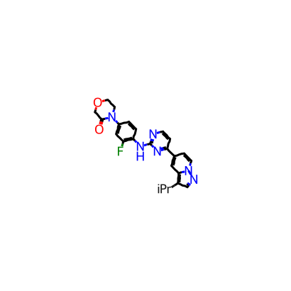 CC(C)c1cnn2ccc(-c3ccnc(Nc4ccc(N5CCOCC5=O)cc4F)n3)cc12